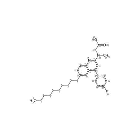 CCCCCCCCCCc1ccc2nc(N(C)CC(=O)O)cc(-c3ccc(F)cc3)c2c1